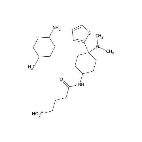 CC1CCC(N)CC1.CN(C)C1(c2cccs2)CCC(NC(=O)CCCC(=O)O)CC1